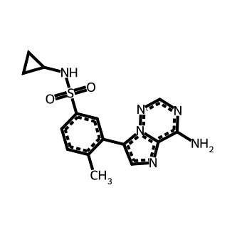 Cc1ccc(S(=O)(=O)NC2CC2)cc1-c1cnc2c(N)ncnn12